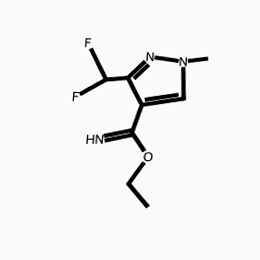 CCOC(=N)c1cn(C)nc1C(F)F